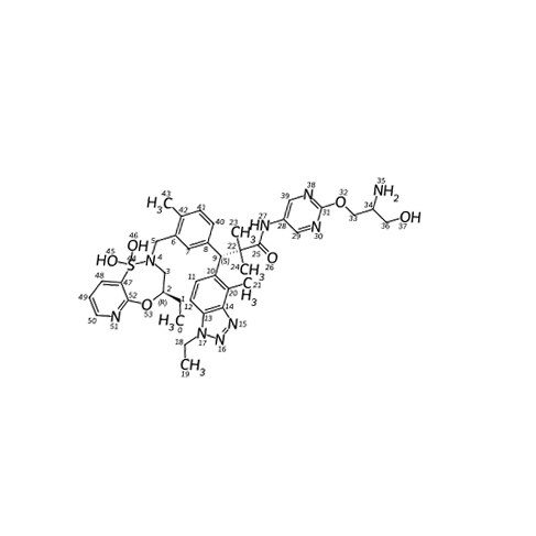 CC[C@@H]1CN(Cc2cc([C@@H](c3ccc4c(nnn4CC)c3C)C(C)(C)C(=O)Nc3cnc(OCC(N)CO)nc3)ccc2C)S(O)(O)c2cccnc2O1